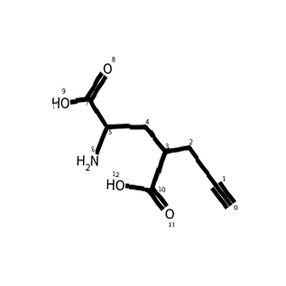 C#CCC(CC(N)C(=O)O)C(=O)O